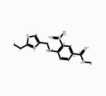 CCc1nc(CNc2ccc(C(=O)OC)cc2[N+](=O)[O-])co1